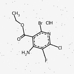 CCOC(=O)c1c(Br)nc(Cl)c(F)c1N.Cl